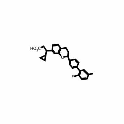 Cc1ccc(F)c(-c2ccc(C3CCc4ccc(C(CC(=O)O)C5CC5)cc4O3)cc2)c1